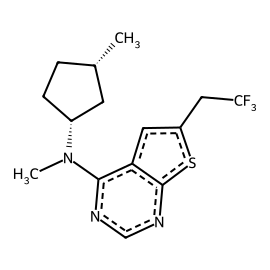 C[C@H]1CC[C@@H](N(C)c2ncnc3sc(CC(F)(F)F)cc23)C1